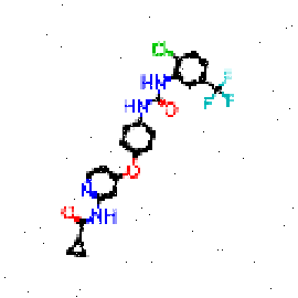 O=C(Nc1ccc(Oc2ccnc(NC(=O)C3CC3)c2)cc1)Nc1cc(C(F)(F)F)ccc1Cl